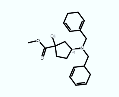 COC(=O)C1(O)CC[C@H](N(CC2=CCCC=C2)CC2C=CC=CC2)C1